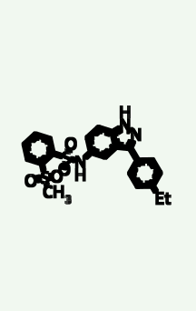 CCc1ccc(-c2n[nH]c3ccc(NS(=O)(=O)c4ccccc4S(C)(=O)=O)cc23)cc1